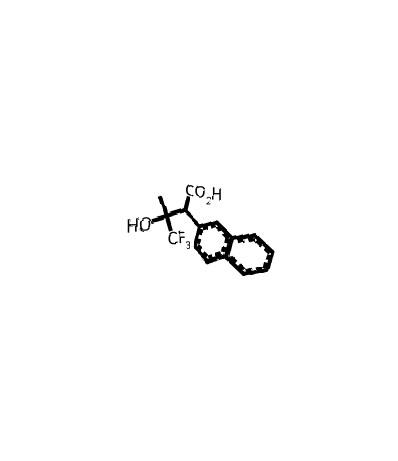 CC(O)(C(C(=O)O)c1ccc2ccccc2c1)C(F)(F)F